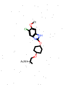 CCOc1cc2[nH]c(O[C@H]3CC[C@H](OC[C@H](C)NC(C)=O)CC3)nc2cc1Cl